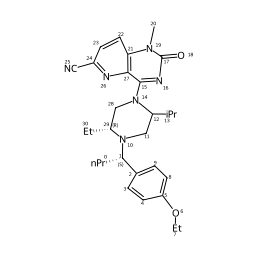 CCC[C@@H](c1ccc(OCC)cc1)N1CC(C(C)C)N(c2nc(=O)n(C)c3ccc(C#N)nc23)C[C@H]1CC